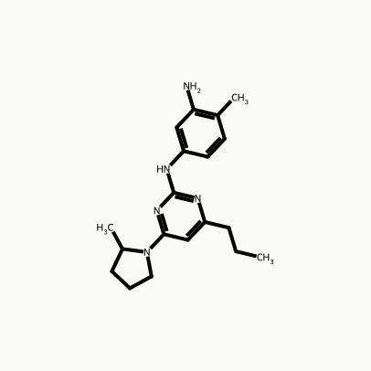 CCCc1cc(N2CCCC2C)nc(Nc2ccc(C)c(N)c2)n1